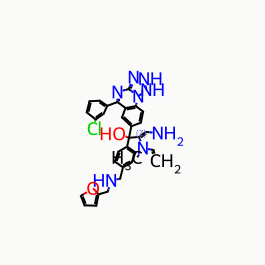 C=CN(C)/C(=C\N)C(O)(c1ccc(CNCc2ccco2)cc1)c1ccc2c(c1)C(c1cccc(Cl)c1)=NC1=NNNN12